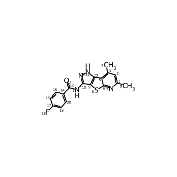 Cc1cc(C)c2c(n1)sc1c(NC(=O)c3ccc(F)cc3)n[nH]c12